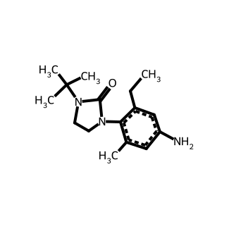 CCc1cc(N)cc(C)c1N1CCN(C(C)(C)C)C1=O